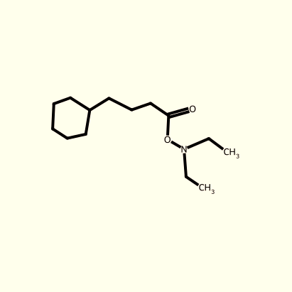 CCN(CC)OC(=O)CCCC1CCCCC1